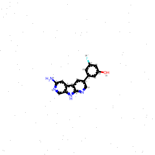 Nc1cc2c(cn1)[nH]c1ncc(-c3cc(O)cc(F)c3)cc12